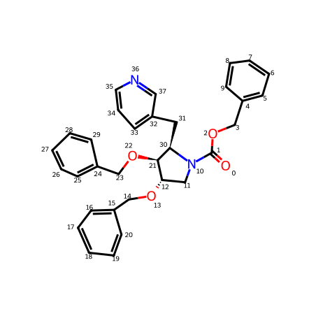 O=C(OCc1ccccc1)N1C[C@H](OCc2ccccc2)[C@@H](OCc2ccccc2)[C@H]1Cc1cccnc1